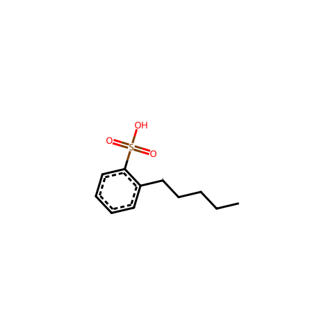 CCCC[CH]c1ccccc1S(=O)(=O)O